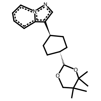 CC1(C)COC([C@H]2CC[C@H](c3cnn4ccccc34)CC2)OC1(C)C